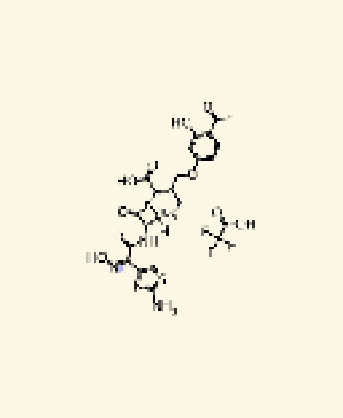 CC(=O)c1ccc(OCC2=C(C(=O)O)N3C(=O)C(NC(=O)/C(=N\O)c4csc(N)n4)[C@H]3SC2)cc1O.O=C(O)C(F)(F)F